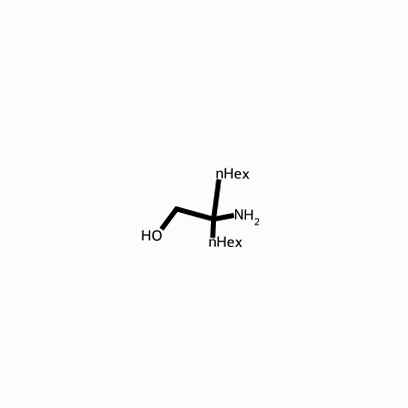 CCCCCCC(N)(CO)CCCCCC